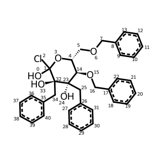 OC1(Cl)O[C@H](COCc2ccccc2)[C@@H](OCc2ccccc2)[C@@](O)(Cc2ccccc2)[C@]1(O)Cc1ccccc1